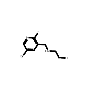 OCCNCc1cc(Br)cnc1F